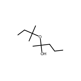 CCCC(C)(O)OC(C)(C)CC